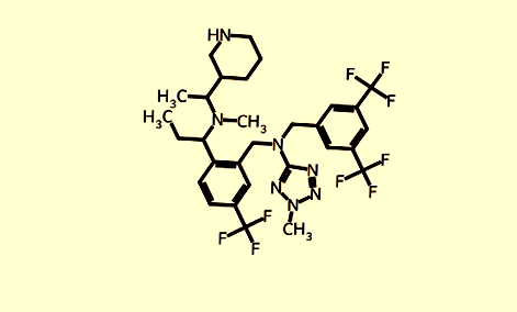 CCC(c1ccc(C(F)(F)F)cc1CN(Cc1cc(C(F)(F)F)cc(C(F)(F)F)c1)c1nnn(C)n1)N(C)C(C)C1CCCNC1